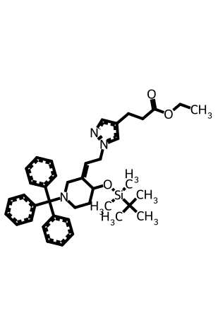 CCOC(=O)CCc1cnn(C/C=C2/CN(C(c3ccccc3)(c3ccccc3)c3ccccc3)CCC2O[Si](C)(C)C(C)(C)C)c1